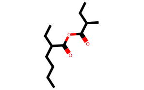 CCCCC(CC)C(=O)OC(=O)C(C)CC